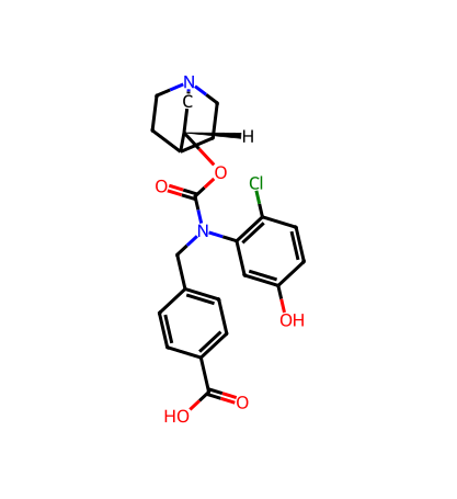 O=C(O)c1ccc(CN(C(=O)O[C@H]2CN3CCC2CC3)c2cc(O)ccc2Cl)cc1